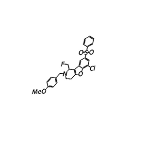 COc1ccc(CN2CCc3oc4c(Cl)cc(S(=O)(=O)c5ccccc5)cc4c3C2CF)cc1